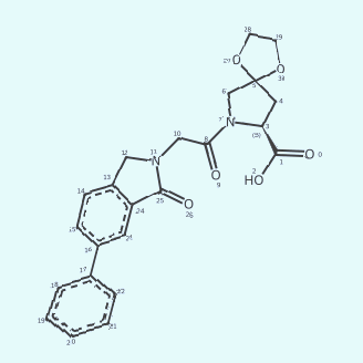 O=C(O)[C@@H]1CC2(CN1C(=O)CN1Cc3ccc(-c4ccccc4)cc3C1=O)OCCO2